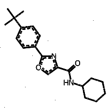 CC(C)(C)c1ccc(-c2nc(C(=O)NC3CCCCC3)co2)cc1